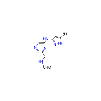 [2H]c1cc(Nc2cncc(CNC=O)n2)n[nH]1